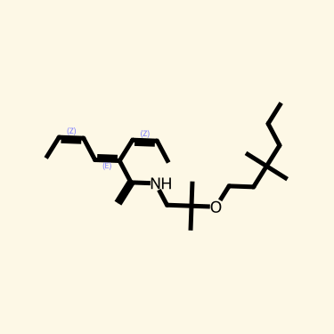 C=C(NCC(C)(C)OCCC(C)(C)CCC)C(/C=C\C)=C/C=C\C